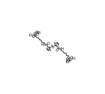 CCO[Si](CCCCCCNC(=O)n1ccnc1SSc1nccn1C(=O)NCCCCCC[Si](OCC)(OCC)OCC)(OCC)OCC